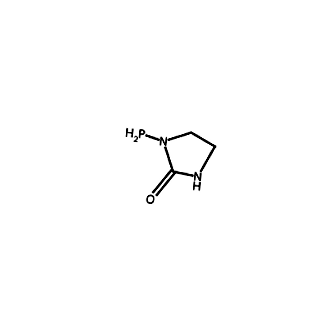 O=C1NCCN1P